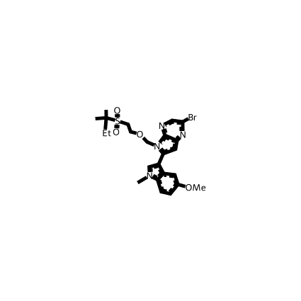 CCC(C)(C)S(=O)(=O)CCOCn1c(-c2cn(C)c3ccc(OC)cc23)cc2nc(Br)cnc21